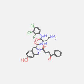 NCC[C@H](NC(=O)[C@@H]1Cc2ccc(O)cc2CN1C(=O)CCC(=O)c1ccccc1)C(=O)Nc1ccc(Cl)c(Cl)c1F